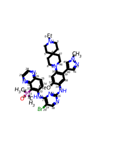 CCN1CCC2(CC1)CCN(c1cc(OC)c(Nc3ncc(Br)c(Nc4ccc5nccnc5c4P(C)(C)=O)n3)cc1-c1cnn(C)c1)CC2